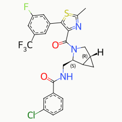 Cc1nc(C(=O)N2C[C@@H]3CC3[C@H]2CNC(=O)c2cccc(Cl)c2)c(-c2cc(F)cc(C(F)(F)F)c2)s1